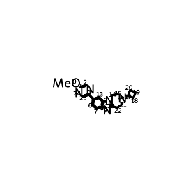 COc1cnc(-c2ccc3nc4n(c3c2)CCN(C2CCC2)CC4)cn1